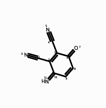 N#CC1=C(C#N)C(=O)C=CC1=N